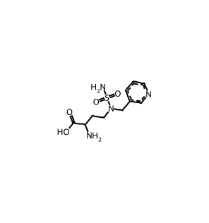 NC(CCN(Cc1cccnc1)S(N)(=O)=O)C(=O)O